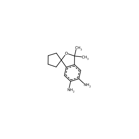 CC1(C)OC2(CCCC2)c2cc(N)c(N)cc21